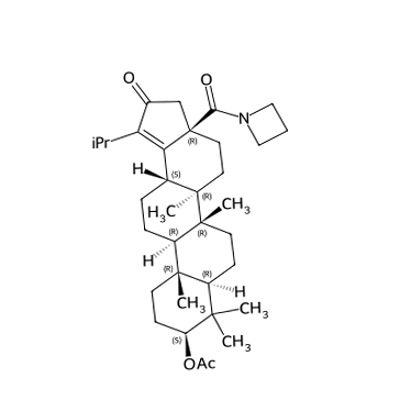 CC(=O)O[C@H]1CC[C@]2(C)[C@H]3CC[C@@H]4C5=C(C(C)C)C(=O)C[C@]5(C(=O)N5CCC5)CC[C@@]4(C)[C@]3(C)CC[C@H]2C1(C)C